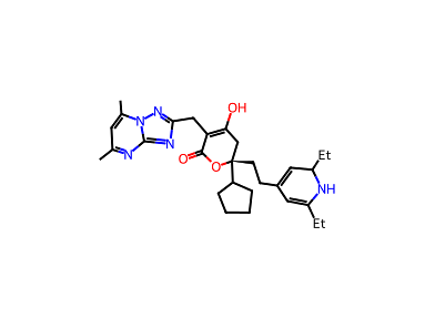 CCC1=CC(CC[C@]2(C3CCCC3)CC(O)=C(Cc3nc4nc(C)cc(C)n4n3)C(=O)O2)=CC(CC)N1